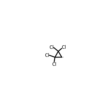 ClC1(Cl)[CH]C1(Cl)Cl